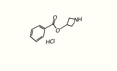 Cl.O=C(OC1CNC1)c1ccccc1